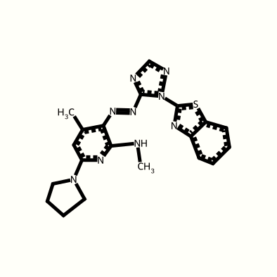 CNc1nc(N2CCCC2)cc(C)c1/N=N/c1ncnn1-c1nc2ccccc2s1